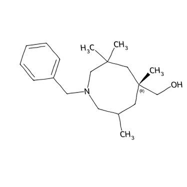 CC1CN(Cc2ccccc2)CC(C)(C)C[C@](C)(CO)C1